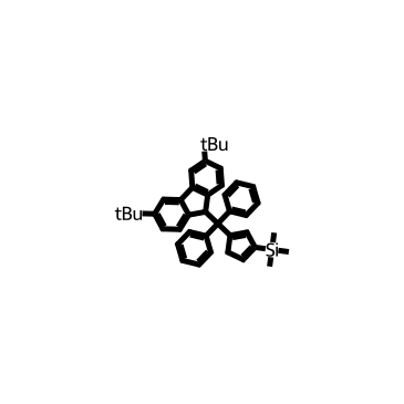 CC(C)(C)c1ccc2c(c1)-c1cc(C(C)(C)C)ccc1C2C(C1=CC([Si](C)(C)C)=CC1)(c1ccccc1)c1ccccc1